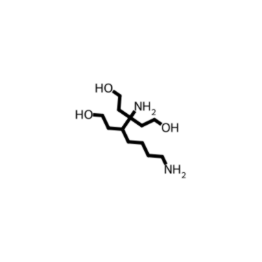 NCCCCC(CCO)C(N)(CCO)CCO